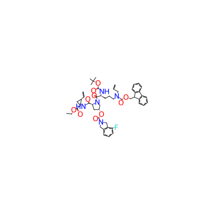 C=CCN(CCC[C@H](NC(=O)OC(C)(C)C)C(=O)N1C[C@H](OC(=O)N2Cc3cccc(F)c3C2)C[C@H]1C(=O)N[C@]1(C(=O)OCC)C[C@H]1C=C)C(=O)OCC1c2ccccc2-c2ccccc21